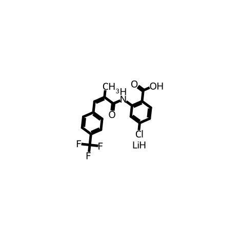 CC(=Cc1ccc(C(F)(F)F)cc1)C(=O)Nc1cc(Cl)ccc1C(=O)O.[LiH]